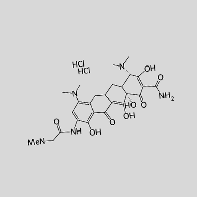 CNCC(=O)Nc1cc(N(C)C)c2c(c1O)C(=O)C1=C(O)[C@]3(O)C(=O)C(C(N)=O)=C(O)[C@@H](N(C)C)C3CC1C2.Cl.Cl